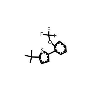 CC(C)(C)c1ccc(-c2ccccc2OC(F)(F)F)s1